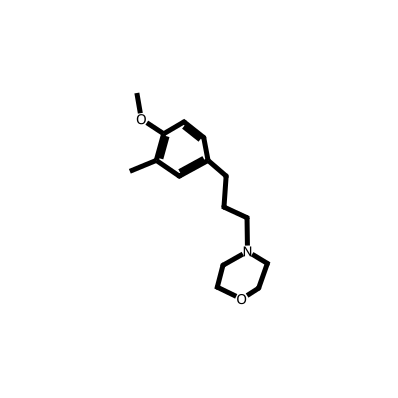 COc1ccc(CCCN2CCOCC2)cc1C